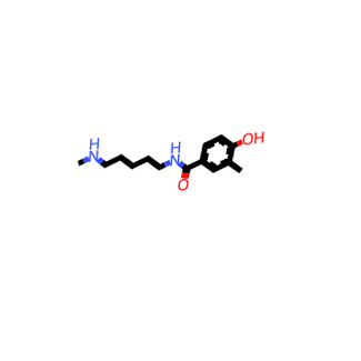 CNCCCCCNC(=O)c1ccc(O)c(C)c1